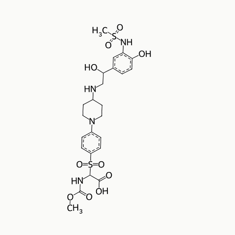 COC(=O)NC(C(=O)O)S(=O)(=O)c1ccc(N2CCC(NCC(O)c3ccc(O)c(NS(C)(=O)=O)c3)CC2)cc1